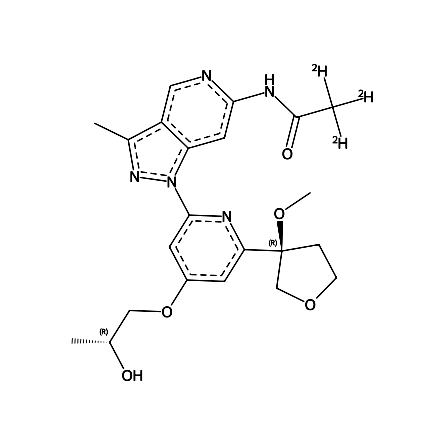 [2H]C([2H])([2H])C(=O)Nc1cc2c(cn1)c(C)nn2-c1cc(OC[C@@H](C)O)cc([C@]2(OC)CCOC2)n1